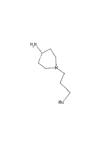 CCC(C)CCCN1CCC(N)CC1